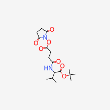 CC(C)C(NC(=O)CCC(=O)ON1C(=O)CCC1=O)C(=O)OC(C)(C)C